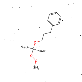 CO[Si](OC)(OCCCc1ccccc1)OO[SiH3]